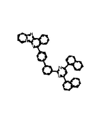 c1cc(-c2ccc(-c3nc4c(nc5ccccn54)c4ccccc34)cc2)cc(-c2nc(-c3cccc4ccccc34)cc(-c3cccc4ccccc34)n2)c1